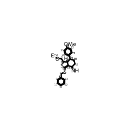 CCOCC1SC(SCc2ccccc2)=C2C(=N)CCC(c3ccc(OC)cc3)[C@H]21